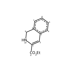 CCOC(=O)C1=Cc2ccccc2CN1